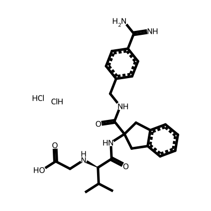 CC(C)[C@@H](NCC(=O)O)C(=O)NC1(C(=O)NCc2ccc(C(=N)N)cc2)Cc2ccccc2C1.Cl.Cl